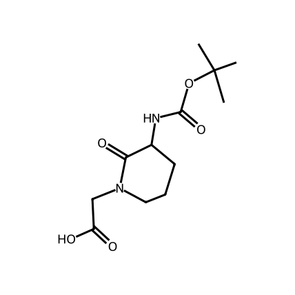 CC(C)(C)OC(=O)NC1CCCN(CC(=O)O)C1=O